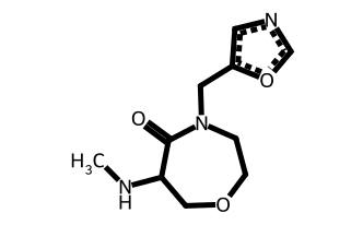 CNC1COCCN(Cc2cnco2)C1=O